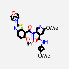 COc1cc(C(=O)NC23CC(OC)(C2)C3)c(NC(=O)c2c(OC(C)C)ccc3nc(N4C5COCC4C5)sc23)cn1